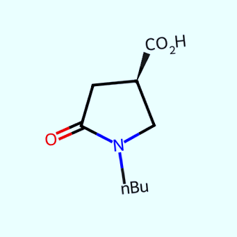 CCCCN1C[C@H](C(=O)O)CC1=O